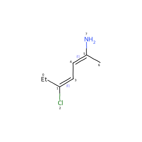 CC/C(Cl)=C\C=C(/C)N